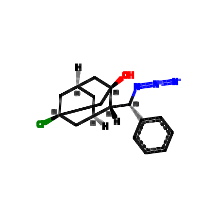 [N-]=[N+]=N[C@H](c1ccccc1)[C@@H]1[C@@H]2C[C@H]3C[C@@](Cl)(C2)C[C@]1(O)C3